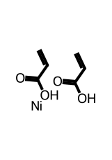 C=CC(=O)O.C=CC(=O)O.[Ni]